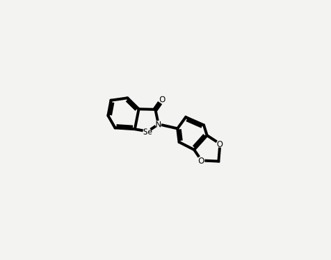 O=c1c2ccccc2[se]n1-c1ccc2c(c1)OCO2